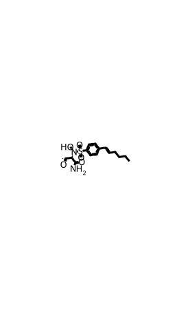 CCCCC=Cc1ccc(S(=O)(=O)N(O)[C@@H]([C]=O)C(N)=O)cc1